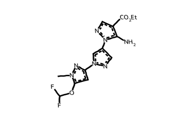 CCOC(=O)c1cnn(-c2cnn(-c3cc(OC(F)F)n(C)n3)c2)c1N